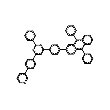 c1ccc(-c2nc(-c3ccc(-c4cccnc4)cc3)cc(-c3ccc(-c4ccc5c(-c6ccccc6)c6ccccc6c(-c6ccccc6)c5c4)cc3)n2)cc1